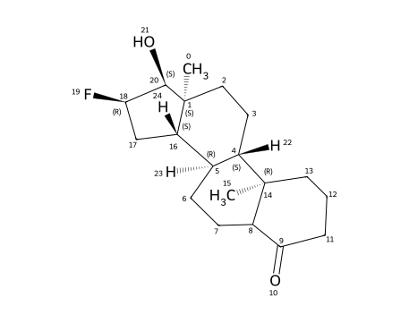 C[C@]12CC[C@H]3[C@@H](CCC4C(=O)CCC[C@@]43C)[C@@H]1C[C@@H](F)[C@H]2O